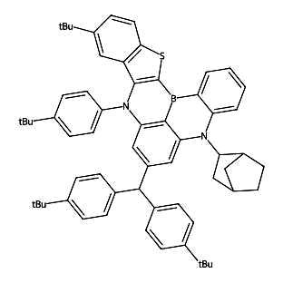 CC(C)(C)c1ccc(C(c2ccc(C(C)(C)C)cc2)c2cc3c4c(c2)N(C2CC5CCC2C5)c2ccccc2B4c2sc4ccc(C(C)(C)C)cc4c2N3c2ccc(C(C)(C)C)cc2)cc1